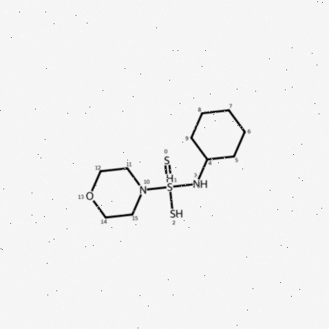 S=[SH](S)(NC1CCCCC1)N1CCOCC1